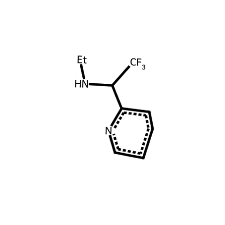 CCNC(c1ccccn1)C(F)(F)F